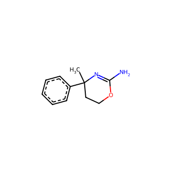 CC1(c2ccccc2)CCOC(N)=N1